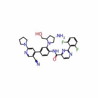 N#Cc1cnc(N2CCCC2)cc1-c1ccc(NC(=O)c2ccnc(-c3c(F)cccc3F)n2)c(N2C[C@@H](N)CC2CO)c1